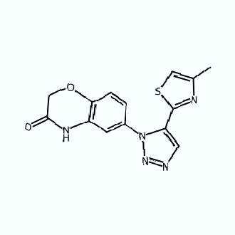 Cc1csc(-c2cnnn2-c2ccc3c(c2)NC(=O)CO3)n1